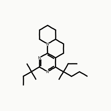 CCCC(C)(CC)c1nc(C(C)(C)CC)nc2c1CCC1CCCCN21